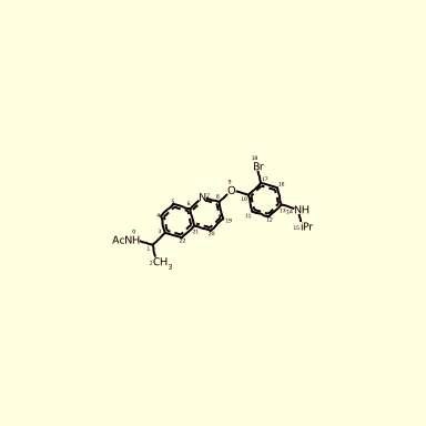 CC(=O)NC(C)c1ccc2nc(Oc3ccc(NC(C)C)cc3Br)ccc2c1